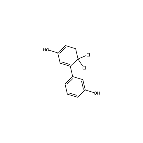 OC1=CCC(Cl)(Cl)C(c2cccc(O)c2)=C1